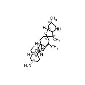 CC1=C2C[C@H]3[C@@H](CC[C@@H]4C[C@@H](N)CC[C@@]43C)[C@@H]2CC[C@@]2(C1)O[C@@H]1C[C@H](C)CNC1[C@H]2C